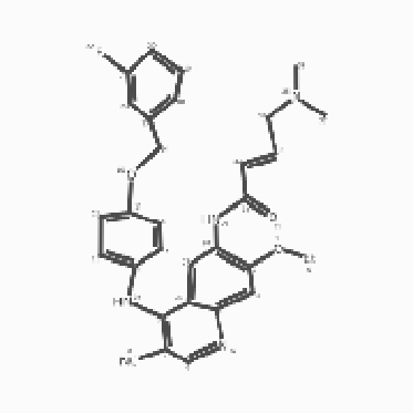 CCOc1cc2ncc(C#N)c(Nc3ccc(OCc4cccc(F)c4)cc3)c2cc1NC(=O)/C=C/CN(C)C